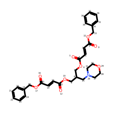 O=C(/C=C/C(=O)OCC(COC(=O)/C=C/C(=O)OCc1ccccc1)CN1CCOCC1)OCc1ccccc1